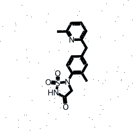 Cc1cccc(Cc2ccc(N3CC(=O)NS3(=O)=O)c(C)c2)n1